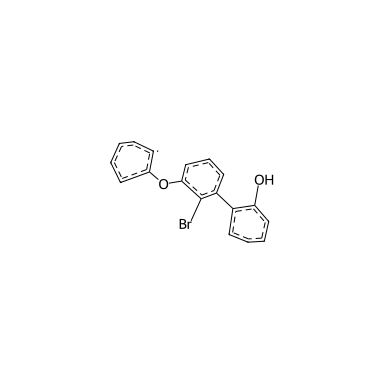 Oc1ccccc1-c1cccc(Oc2[c]cccc2)c1Br